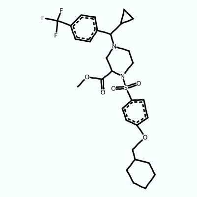 COC(=O)C1CN(C(c2ccc(C(F)(F)F)cc2)C2CC2)CCN1S(=O)(=O)c1ccc(OCC2CCCCC2)cc1